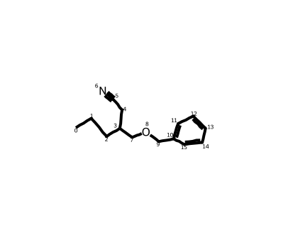 CCCC(CC#N)COCc1ccccc1